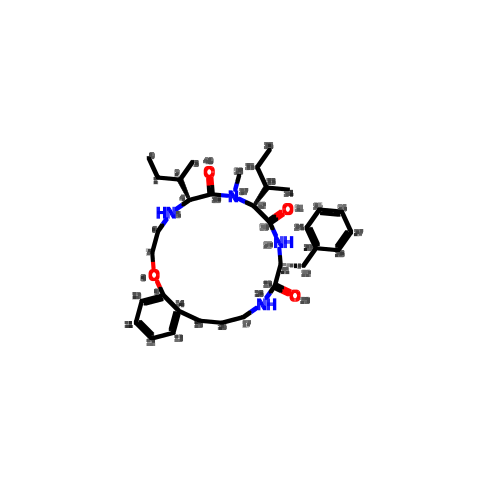 CCC(C)[C@@H]1NCCOc2ccccc2CCCNC(=O)[C@@H](Cc2ccccc2)NC(=O)[C@H](C(C)CC)N(C)C1=O